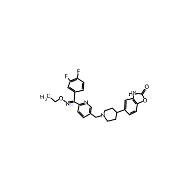 CCO/N=C(\c1ccc(F)c(F)c1)c1ccc(CN2CCC(c3ccc4oc(=O)[nH]c4c3)CC2)cn1